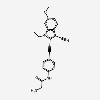 CCn1c(C#Cc2ccc(NC(=O)CN)cc2)c(C#N)c2ccc(OC)cc21